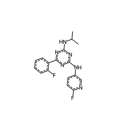 CC(C)Nc1nc(Nc2ccc(F)nc2)nc(-c2ccccc2F)n1